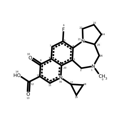 CN1Cc2c(c(F)cc3c(=O)c(C(=O)O)cn(C4CC4)c23)N2CCCC2C1